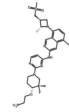 CC(C)c1ccc(N2C[C@H](CS(C)(=O)=O)[C@H]2C)c2cnc(Nc3ccnc(N4CC[C@@H](OCCN)[C@@](C)(F)C4)n3)cc12